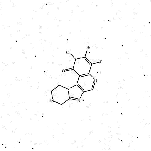 O=C1c2c(ncc3nc4n(c23)CCNC4)C(F)=C(Br)C1Cl